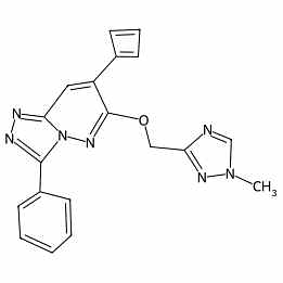 Cn1cnc(COc2nn3c(-c4ccccc4)nnc3cc2C2=CC=C2)n1